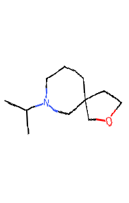 CC(C)N1CCCC2(CCOC2)C1